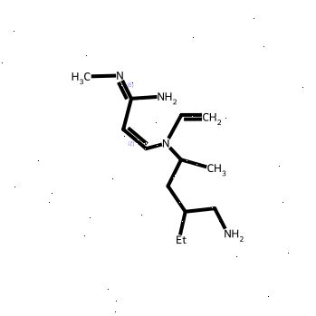 C=CN(/C=C\C(N)=N/C)C(C)CC(CC)CN